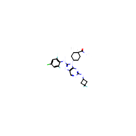 C[C@]1(C(N)=O)CC[C@@H](n2c(Nc3c(F)cc(Cl)cc3F)nc3cnc(NC4CC(F)(F)C4)nc32)CC1